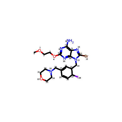 COCCOc1nc(N)c2nc(Br)n(CC3C=C(CN4CCOCC4)C=CC3I)c2n1